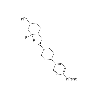 CCCCCc1ccc(C2CCC(OCC3CCC(CCC)CC3(F)F)CC2)cc1